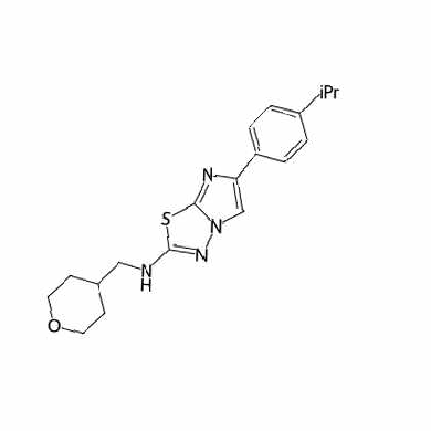 CC(C)c1ccc(-c2cn3nc(NCC4CCOCC4)sc3n2)cc1